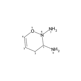 NC1CC=CON1N